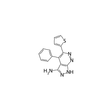 Nc1n[nH]c2nnc(-c3cccs3)c(-c3ccccc3)c12